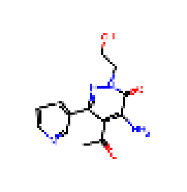 CC(=O)c1c(-c2cccnc2)nn(CCO)c(=O)c1N